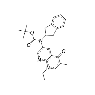 CCn1cc(C)c(=O)c2cc(N(C(=O)OC(C)(C)C)C3Cc4ccccc4C3)cnc21